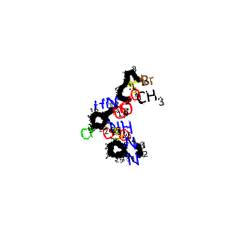 COC(=O)C(Cc1ccc(Br)s1)NC(=O)c1ccc(Cl)cc1NS(=O)(=O)c1cccc2nccnc12